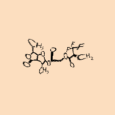 C=C(C(=O)OCC(=O)OC1OC2C(C)OC(=O)C2C1C)C(F)(F)F